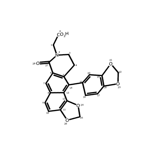 O=C(O)CN1CCc2c(cc3ccc4c(c3c2-c2ccc3c(c2)OCO3)OCO4)C1=O